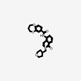 O=C(Nc1cccc2c(=O)n(CC3CCOCC3)ccc12)c1ccc2c(c1)OCCCO2